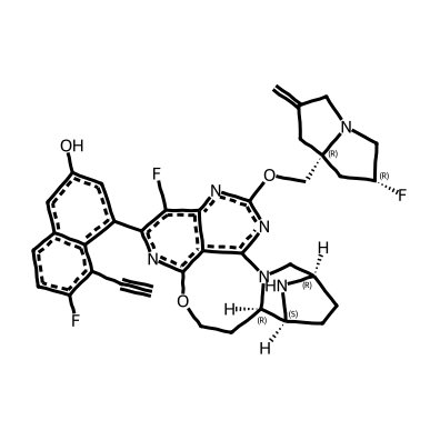 C#Cc1c(F)ccc2cc(O)cc(-c3nc4c5c(nc(OC[C@]67CC(=C)CN6C[C@H](F)C7)nc5c3F)N3C[C@H]5CC[C@H](N5)[C@H]3CCO4)c12